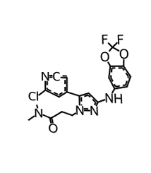 CN(C)C(=O)CCn1nc(Nc2ccc3c(c2)OC(F)(F)O3)cc1-c1ccnc(Cl)c1